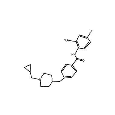 Nc1cc(F)ccc1NC(=O)c1ccc(CC2CCN(CC3CC3)CC2)cc1